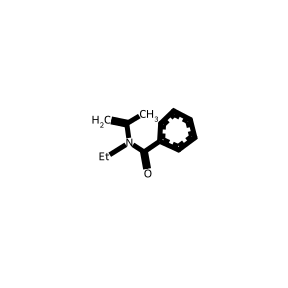 C=C(C)N(CC)C(=O)c1ccccc1